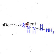 CCCCCCCCCCCCCCCCCCN(CC(=O)NCCCNCCCCNCCCN)NCCCCC